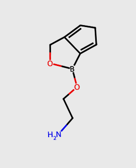 NCCOB1OCC2=CCC=C12